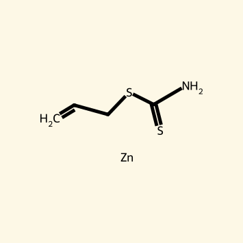 C=CCSC(N)=S.[Zn]